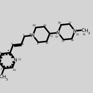 Cc1ccc(/C=C/CN2CCC(N3CCN(C)CC3)CC2)nc1